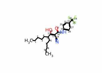 CCCCCC(CCCCC)/C(O)=C(\C#N)C(=O)Nc1ccc(C(F)(F)F)cc1